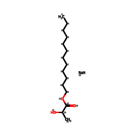 CCCCCCCCCCCCOC(=O)C(C)O.[NaH]